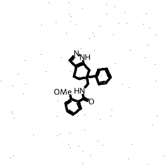 COc1ccccc1C(=O)NCC1(c2ccccc2)CCc2cn[nH]c2C1